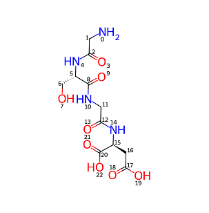 NCC(=O)N[C@@H](CO)C(=O)NCC(=O)N[C@@H](CC(=O)O)C(=O)O